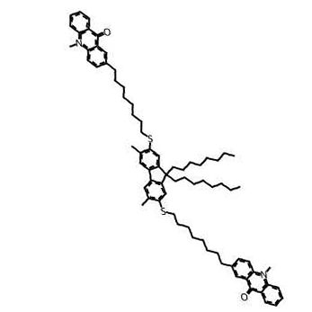 CCCCCCCCC1(CCCCCCCC)c2cc(SCCCCCCCCc3ccc4c(c3)c(=O)c3ccccc3n4C)c(C)cc2-c2cc(C)c(SCCCCCCCCc3ccc4c(c3)c(=O)c3ccccc3n4C)cc21